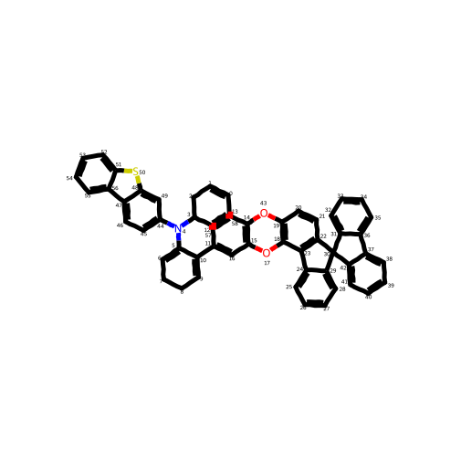 C1=CCC(N(C2=CCCC=C2c2ccc3c(c2)Oc2c(ccc4c2-c2ccccc2C42c4ccccc4-c4ccccc42)O3)c2ccc3c(c2)sc2ccccc23)C=C1